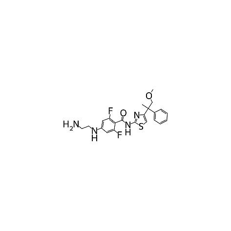 COCC(C)(c1ccccc1)c1csc(NC(=O)c2c(F)cc(NCCN)cc2F)n1